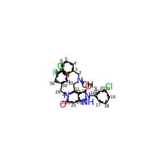 CN(Cc1cccc(F)c1)Cc1c2c(=O)n(-c3cccc(Cl)c3)[nH]c2cc(=O)n1Cc1ccc(Cl)cc1